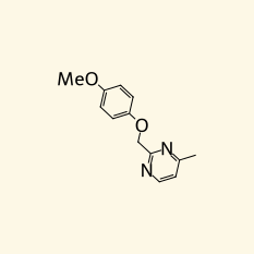 COc1ccc(OCc2nccc(C)n2)cc1